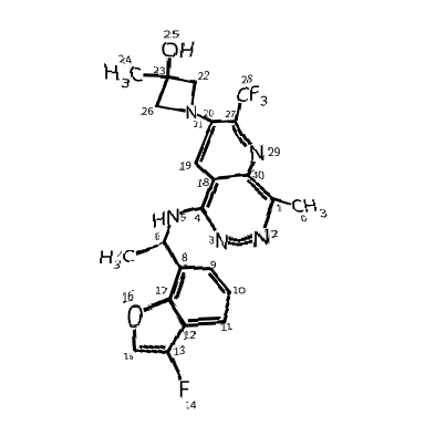 Cc1nnc(N[C@H](C)c2cccc3c(F)coc23)c2cc(N3CC(C)(O)C3)c(C(F)(F)F)nc12